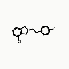 Clc1ccc(CCN2Cc3cccc(Cl)c3C2)cc1